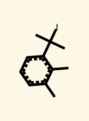 Cc1cccc(C(C)(C)I)c1C